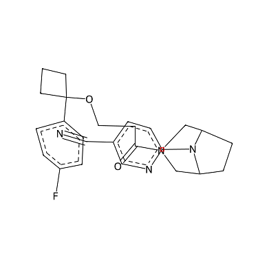 N#Cc1ccc(N2C3CCC2CN(C(=O)CCOC2(c4ccc(F)cc4)CCC2)C3)nc1